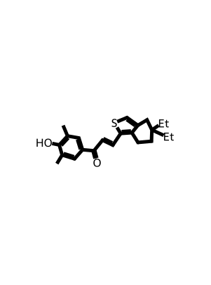 CCC1(CC)CCc2c(csc2C=CC(=O)c2cc(C)c(O)c(C)c2)C1